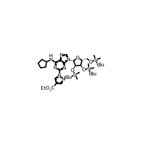 CCOC(=O)c1cnn(-c2nc(NC3CCCC3)c3ncn([C@@H]4O[C@H](CO[Si](C)(C)C(C)(C)C)[C@@H](O[Si](C)(C)C(C)(C)C)[C@H]4O[Si](C)(C)C(C)(C)C)c3n2)c1